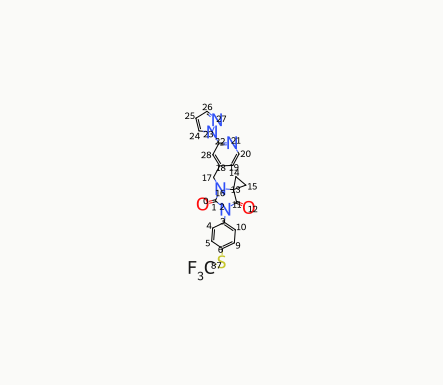 O=C1N(c2ccc(SC(F)(F)F)cc2)C(=O)C2(CC2)N1Cc1ccnc(-n2cccn2)c1